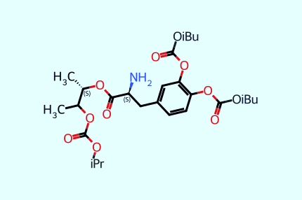 CC(C)COC(=O)Oc1ccc(C[C@H](N)C(=O)O[C@@H](C)C(C)OC(=O)OC(C)C)cc1OC(=O)OCC(C)C